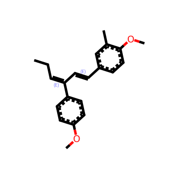 CC/C=C(\C=C\c1ccc(OC)c(C)c1)c1ccc(OC)cc1